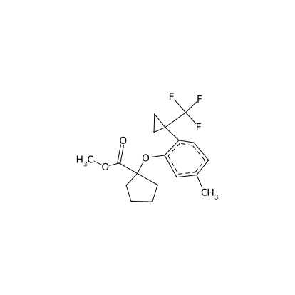 COC(=O)C1(Oc2cc(C)ccc2C2(C(F)(F)F)CC2)CCCC1